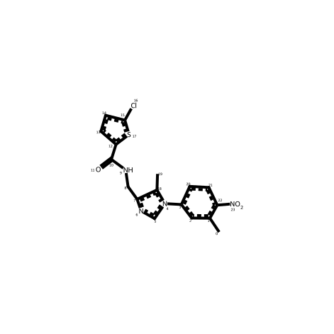 Cc1cc(-n2cnc(CNC(=O)c3ccc(Cl)s3)c2C)ccc1[N+](=O)[O-]